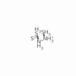 [NH3+][SH3].[NH3+][SH3].[S-2]